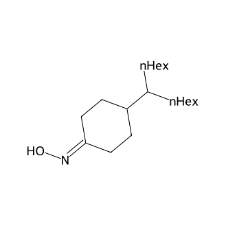 CCCCCCC(CCCCCC)C1CCC(=NO)CC1